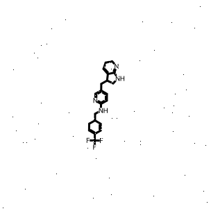 FC(F)(F)C1=CCC(CNc2ccc(CC3CNC4=NCCC=C43)cn2)C=C1